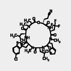 CC(C)C[C@@H]1NC(=O)[C@H](Cc2csc3ccc(Cl)cc23)N(C)C(=O)[C@H](CC(C)C)NC(=O)[C@H](CC2=CCCC2)N(C)C(=O)[C@H](CC(F)(F)F)NC(=O)[C@@H](CCC#N)OC(=O)[C@H](C)N(C)C1=O